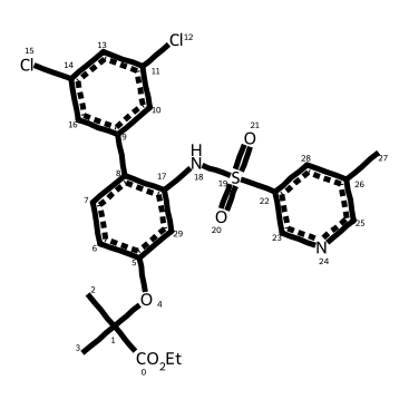 CCOC(=O)C(C)(C)Oc1ccc(-c2cc(Cl)cc(Cl)c2)c(NS(=O)(=O)c2cncc(C)c2)c1